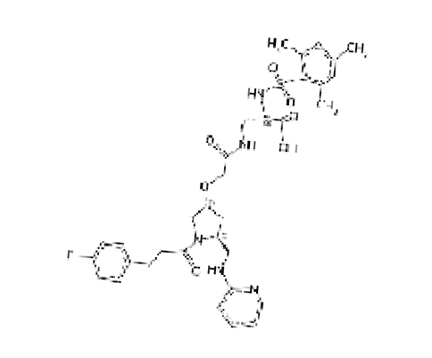 Cc1cc(C)c(S(=O)(=O)N[C@@H](CNC(=O)CO[C@@H]2C[C@@H](CNc3ccccn3)N(C(=O)CCc3ccc(F)cc3)C2)C(=O)O)c(C)c1